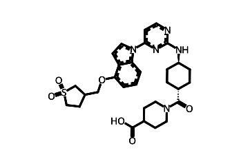 O=C(O)C1CCN(C(=O)[C@H]2CC[C@H](Nc3nccc(-n4ccc5c(OCC6CCS(=O)(=O)C6)cccc54)n3)CC2)CC1